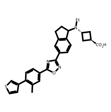 CCN(C1CCc2cc(-c3noc(-c4ccc(-c5ccsc5)c(C)c4)n3)ccc21)[C@H]1C[C@H](C(=O)O)C1